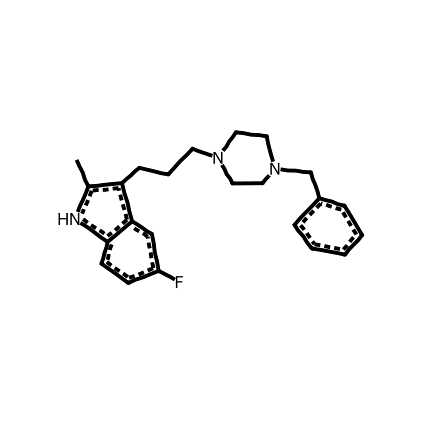 Cc1[nH]c2ccc(F)cc2c1CCCN1CCN(Cc2ccccc2)CC1